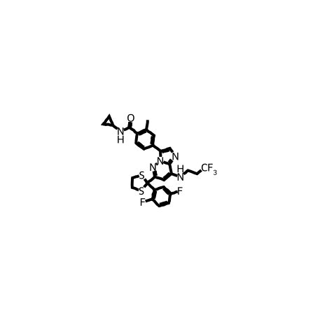 Cc1cc(-c2cnc3c(NCCC(F)(F)F)cc(C4(c5cc(F)ccc5F)SCCS4)nn23)ccc1C(=O)NC1CC1